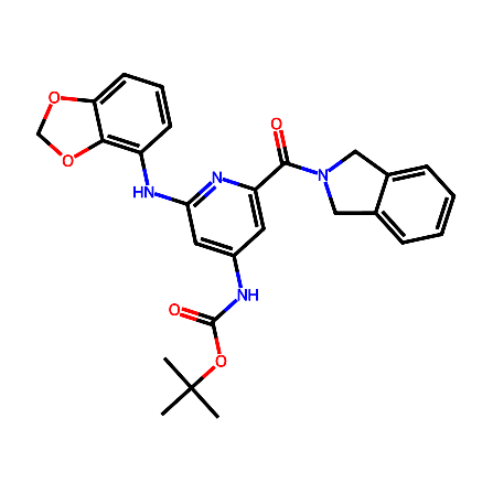 CC(C)(C)OC(=O)Nc1cc(Nc2cccc3c2OCO3)nc(C(=O)N2Cc3ccccc3C2)c1